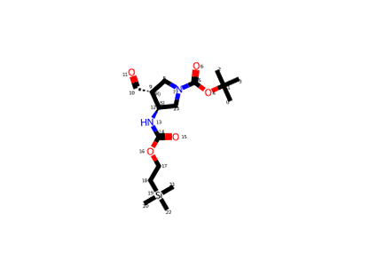 CC(C)(C)OC(=O)N1C[C@@H](C=O)[C@H](NC(=O)OCC[Si](C)(C)C)C1